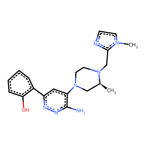 C[C@H]1CN(c2cc(-c3ccccc3O)nnc2N)CCN1Cc1nccn1C